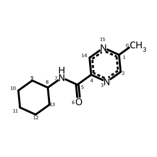 Cc1cnc(C(=O)NC2CCCCC2)cn1